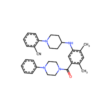 Cc1cc(C)c(C(=O)N2CCN(c3ccccc3)CC2)cc1NC1CCN(c2ccccc2C#N)CC1